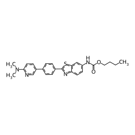 CCCCOC(=O)Nc1ccc2nc(-c3ccc(-c4ccc(N(C)C)nc4)cc3)sc2c1